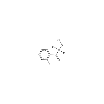 Cc1ccccc1C(=O)C(Cl)(Cl)SCl